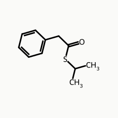 CC(C)SC(=O)Cc1ccccc1